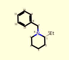 CC[C@@H]1CCCCN1Cc1ccccc1